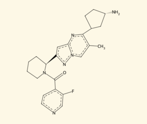 Cc1cn2nc([C@@H]3CCCCN3C(=O)c3ccncc3F)cc2nc1C1CC[C@H](N)C1